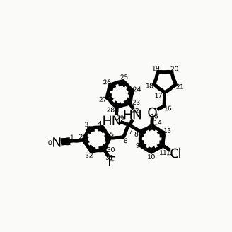 N#Cc1ccc(CC2(c3ccc(Cl)cc3OCC3CCCC3)Nc3ccccc3N2)c(F)c1